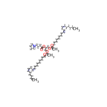 CCCCC/C=C\C/C=C\CCCCCCCCOC(C)OCC(COC(C)OCCCCCCCC/C=C\C/C=C\CCCCC)OC(=O)CCCN1CCCC1